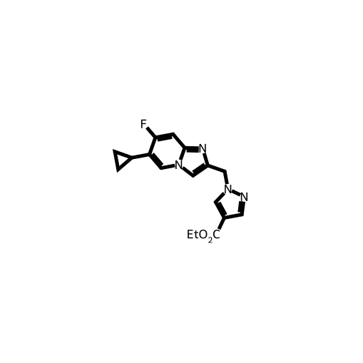 CCOC(=O)c1cnn(Cc2cn3cc(C4CC4)c(F)cc3n2)c1